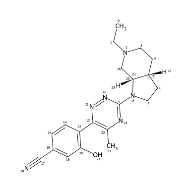 CCN1CC[C@@H]2CCN(c3nnc(-c4ccc(C#N)cc4O)c(C)n3)[C@@H]2C1